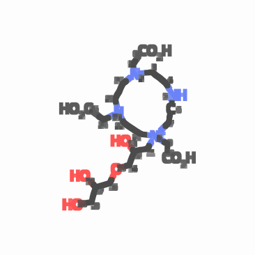 O=C(O)CN1CCNCC[N+](CC(=O)O)(CC(O)COCC(O)CO)CCN(CC(=O)O)CC1